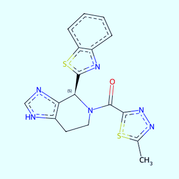 Cc1nnc(C(=O)N2CCc3[nH]cnc3[C@H]2c2nc3ccccc3s2)s1